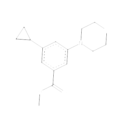 COC(=O)c1cc(C2CC2)cc(N2CCOCC2)c1